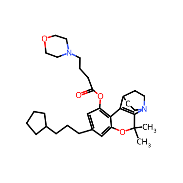 CC1(C)Oc2cc(CCCC3CCCC3)cc(OC(=O)CCCN3CCOCC3)c2C2=C1N1CCC2CC1